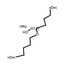 CCCCCCCCCCCCCCOCCCCCCCCCCCCCC.O=S(=O)(O)O.[NaH]